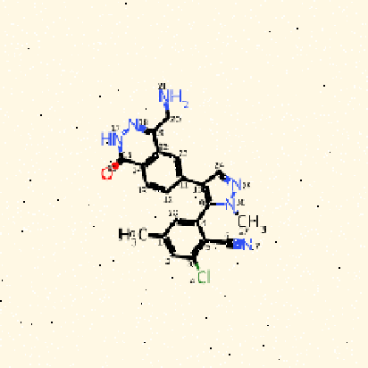 Cc1cc(Cl)c(C#N)c(-c2c(-c3ccc4c(=O)[nH]nc(CN)c4c3)cnn2C)c1